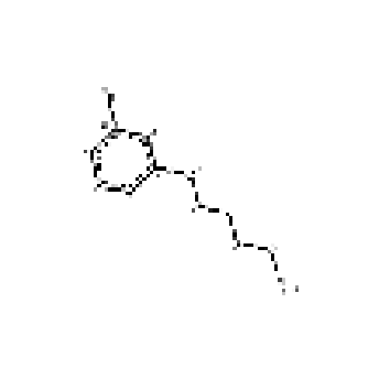 NCCCCOc1cccc(Br)c1